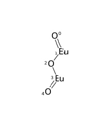 [O]=[Eu][O][Eu]=[O]